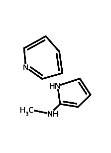 CNc1ccc[nH]1.c1ccncc1